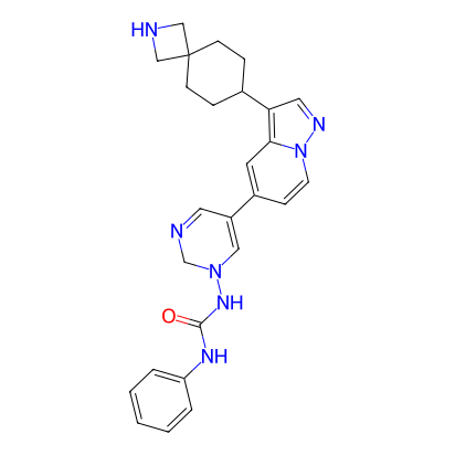 O=C(Nc1ccccc1)NN1C=C(c2ccn3ncc(C4CCC5(CC4)CNC5)c3c2)C=NC1